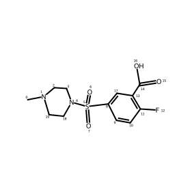 CN1CCN(S(=O)(=O)c2ccc(F)c(C(=O)O)c2)CC1